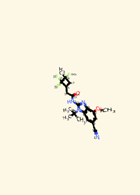 COc1cc(C#N)cc2c1nc(NC(=O)CC1CC(C)(F)C1(F)F)n2C(C)(C)C